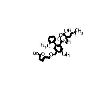 CSCCC(NC(=O)c1ccc(COCc2ccc(Br)o2)cc1-c1ccccc1C)C(=O)O.[LiH]